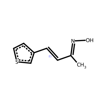 CC(/C=C/c1ccsc1)=NO